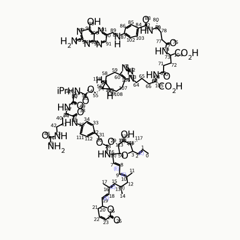 C/C=C/C1OC([C@@H](/C=C/C=C(\C)C[C@@H](C)/C=C(C)\C=C\C2CC=CC(=O)O2)NC(=O)OCc2ccc(NC(=O)[C@H](CCCNC(N)=O)NC(=O)[C@@H](NC(=O)OC[C@@H]3[C@@H]4CCc5nnn(CCC[C@H](NC(=O)CCC(NC(=O)CC[C@@H](C)NC(=O)c6ccc(NCc7cnc8nc(N)nc(O)c8n7)cc6)C(=O)O)C(=O)O)c5CC[C@@H]43)C(C)C)cc2)C[C@@H](O)[C@@H]1C